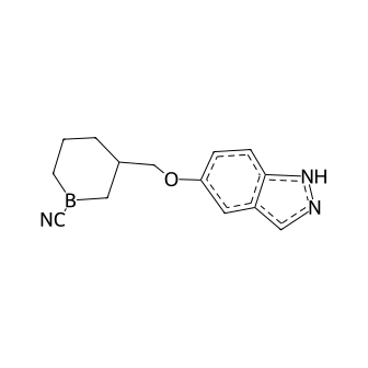 N#CB1CCCC(COc2ccc3[nH]ncc3c2)C1